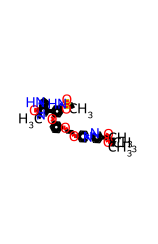 CCS(=O)(=O)Nc1ccc(Oc2cccc(OCCOC3CCN(c4ccc(C(=O)OC(C)(C)C)cn4)CC3)c2)c(-c2cn(C)c(=O)c3[nH]ccc23)c1